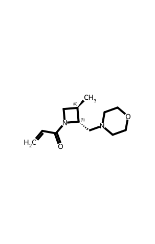 C=CC(=O)N1C[C@@H](C)[C@@H]1CN1CCOCC1